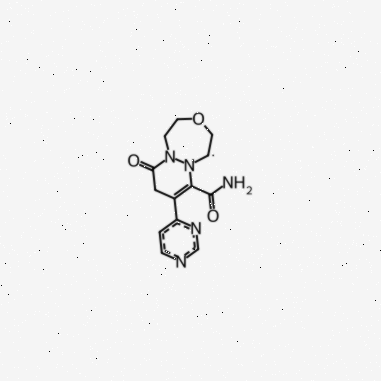 NC(=O)C1=C(c2ccncn2)CC(=O)N2CCOC[CH]N12